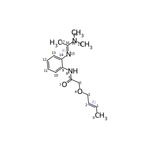 C/C=C/COCC(=O)Nc1ccccc1/N=C(\C)N(C)C